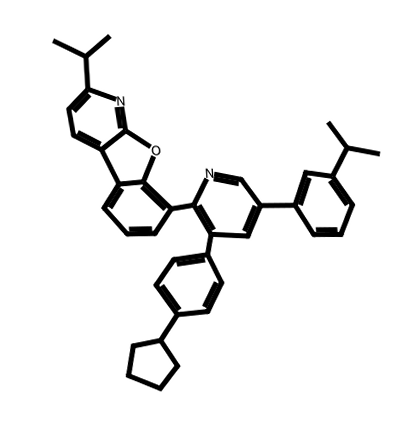 CC(C)c1cccc(-c2cnc(-c3cccc4c3oc3nc(C(C)C)ccc34)c(-c3ccc(C4CCCC4)cc3)c2)c1